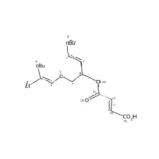 CCCCC=CC(COC=C(CC)CCCC)OC(=O)/C=C/C(=O)O